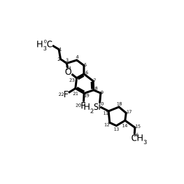 CCCC1CCc2cc(C[SiH2]C3CCC(CC)CC3)c(F)c(F)c2O1